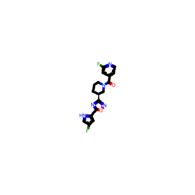 O=C(c1ccnc(F)c1)N1CCC[C@H](c2noc(-c3cc(F)c[nH]3)n2)C1